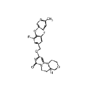 Cc1ccc(Oc2c(F)cc(COc3cc4n(c(=O)n3)CC[C@H]3COCCN43)cc2F)cn1